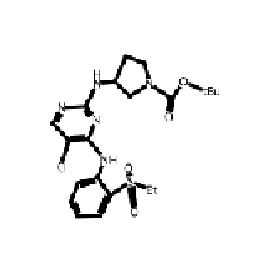 CCS(=O)(=O)c1ccccc1Nc1nc(NC2CCN(C(=O)OC(C)(C)C)C2)ncc1Cl